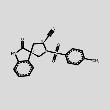 Cc1ccc(S(=O)(=O)N2C[C@]3(C[C@H]2C#N)C(=O)Nc2ccccc23)cc1